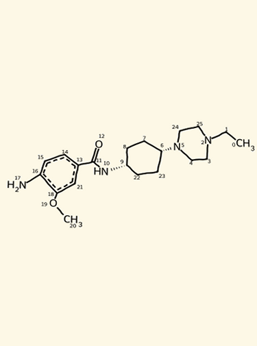 CCN1CCN([C@H]2CC[C@@H](NC(=O)c3ccc(N)c(OC)c3)CC2)CC1